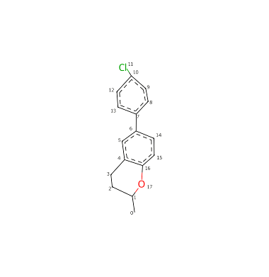 CC1CCc2cc(-c3ccc(Cl)cc3)ccc2O1